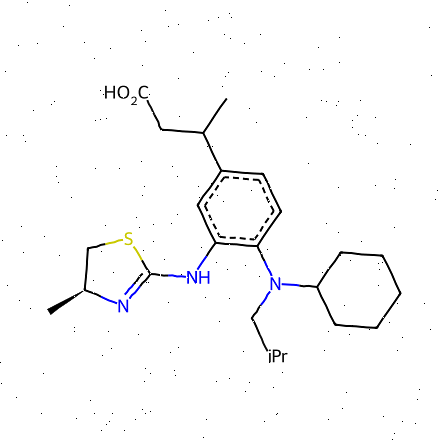 CC(C)CN(c1ccc(C(C)CC(=O)O)cc1NC1=N[C@@H](C)CS1)C1CCCCC1